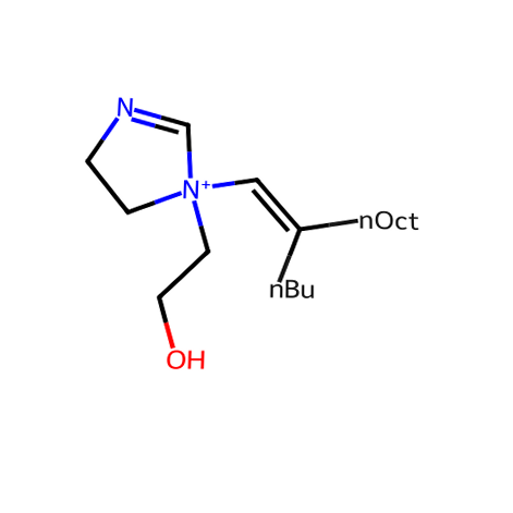 CCCCCCCCC(=C[N+]1(CCO)C=NCC1)CCCC